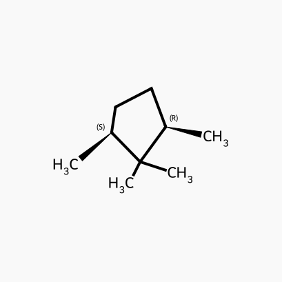 C[C@@H]1CC[C@H](C)C1(C)C